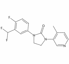 Cc1ccncc1N1CCN(c2ccc(F)c(C(F)F)c2)C1=O